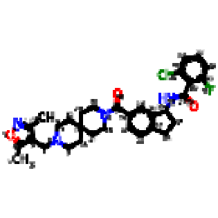 Cc1noc(C)c1CN1CCC2(CC1)CCN(C(=O)c1ccc3c(c1)C(NC(=O)c1c(F)cccc1Cl)CC3)CC2